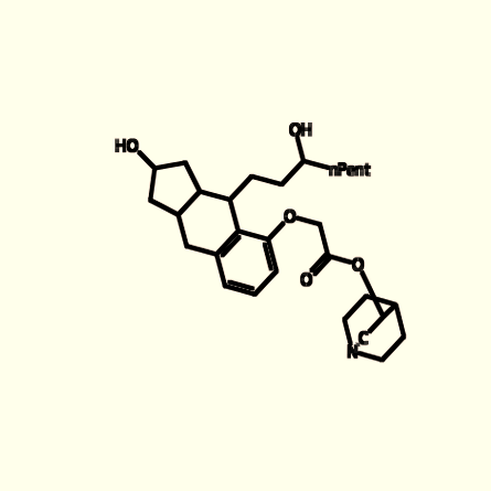 CCCCCC(O)CCC1c2c(cccc2OCC(=O)OC2CN3CCC2CC3)CC2CC(O)CC21